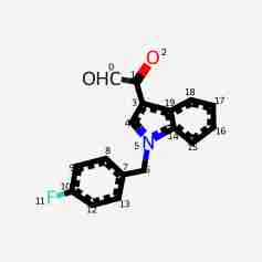 O=CC(=O)c1cn(Cc2ccc(F)cc2)c2ccccc12